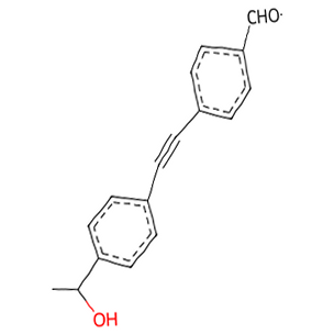 CC(O)c1ccc(C#Cc2ccc([C]=O)cc2)cc1